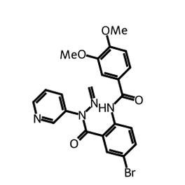 C=NN(C(=O)c1cc(Br)ccc1NC(=O)c1ccc(OC)c(OC)c1)c1cccnc1